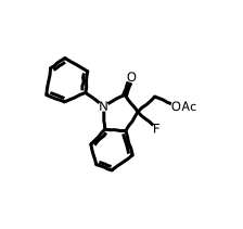 CC(=O)OCC1(F)C(=O)N(c2ccccc2)c2ccccc21